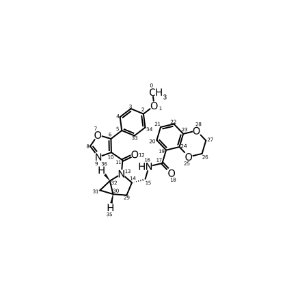 COc1ccc(-c2ocnc2C(=O)N2[C@H](CNC(=O)c3cccc4c3OCCO4)C[C@@H]3C[C@@H]32)cc1